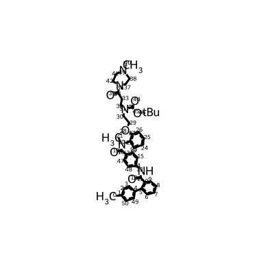 Cc1ccc(-c2ccccc2C(=O)Nc2ccc(C(=O)N(C)c3ccccc3OCCN(CCC(=O)N3CCN(C)CC3)C(=O)OC(C)(C)C)cc2)cc1